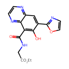 CCOC(=O)CNC(=O)c1c(O)c(-c2ncco2)cc2nccnc12